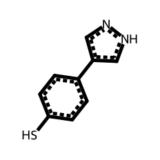 Sc1ccc(-c2cn[nH]c2)cc1